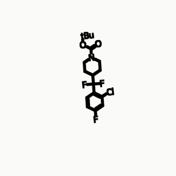 CC(C)(C)OC(=O)N1CCC(C(F)(F)c2ccc(F)cc2Cl)CC1